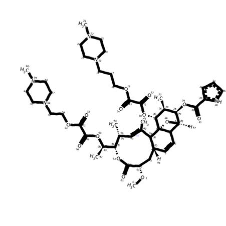 CO[C@H]1C[C@H]2C=CC3C4[C@H](OC(=O)C(=O)OCCCN5CCN(C)CC5)[C@@H](C)[C@@H](OC(=O)c5ccc[nH]5)[C@@H]3O[C@]42/C(C)=C/[C@@H](C)[C@@H]([C@@H](C)OC(=O)C(=O)OCCN2CCN(C)CC2)OC1=O